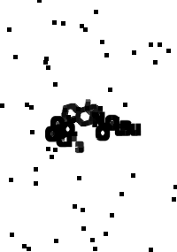 CC(C)(C)OC(=O)N1CCC2(C)c3cccc(OS(=O)(=O)C(F)(F)F)c3CC1C2(C)C